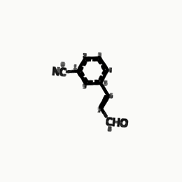 N#Cc1cccc(C=CC=O)c1